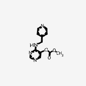 COC(=O)Oc1cncnc1NCc1ccncc1